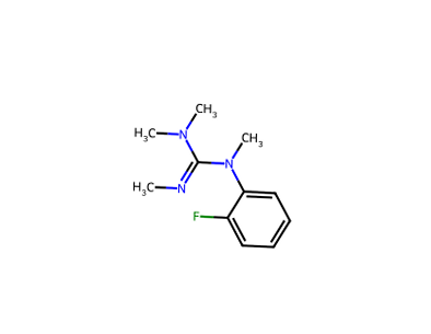 CN=C(N(C)C)N(C)c1ccccc1F